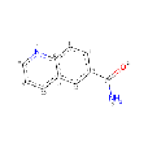 NC(=O)c1ccc2nc[c]cc2c1